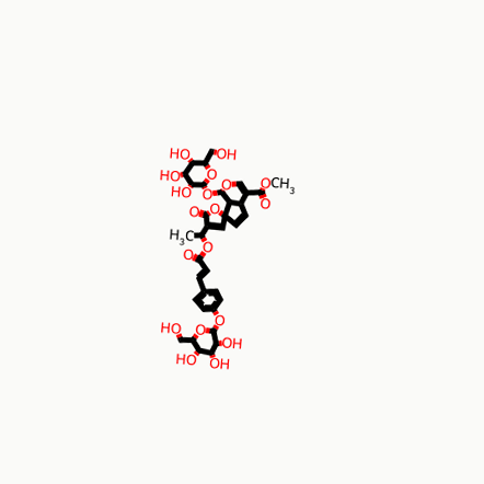 COC(=O)C1=COC(OC2OC(CO)C(O)C(O)C2O)C2C1C=CC21C=C(C(C)OC(=O)C=Cc2ccc(OC3OC(CO)C(O)C(O)C3O)cc2)C(=O)O1